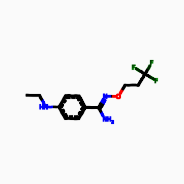 CCNc1ccc(C(N)=NOCCC(F)(F)F)cc1